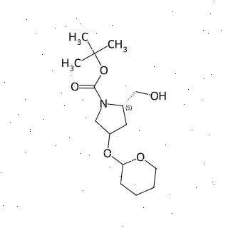 CC(C)(C)OC(=O)N1CC(OC2CCCCO2)C[C@H]1CO